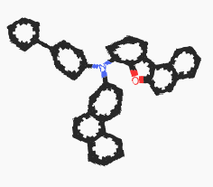 c1ccc(-c2ccc(N(c3ccc4c(ccc5ccccc54)c3)c3cccc4c3oc3ccc5ccccc5c34)cc2)cc1